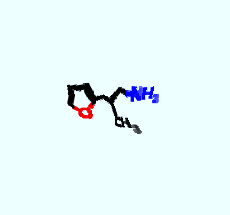 CC(CN)c1ccco1